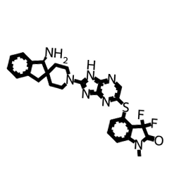 CN1C(=O)C(F)(F)c2c(Sc3cnc4[nH]c(N5CCC6(CC5)Cc5ccccc5[C@H]6N)nc4n3)cccc21